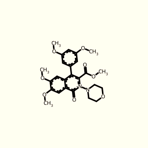 COC(=O)c1c(-c2cc(OC)cc(OC)c2)c2cc(OC)c(OC)cc2c(=O)n1N1CCOCC1